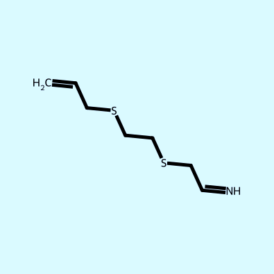 C=CCSCCSCC=N